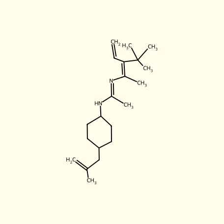 C=C/C(=C(C)\N=C(/C)NC1CCC(CC(=C)C)CC1)C(C)(C)C